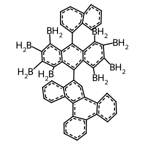 Bc1c(B)c(B)c2c(-c3cc4c5ccccc5c5ccccc5c4c4ccccc34)c3c(B)c(B)c(B)c(B)c3c(-c3cccc4ccccc34)c2c1B